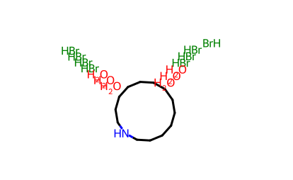 Br.Br.Br.Br.Br.Br.Br.Br.C1CCCCCCNCCCCCC1.O.O.O.O.O.O